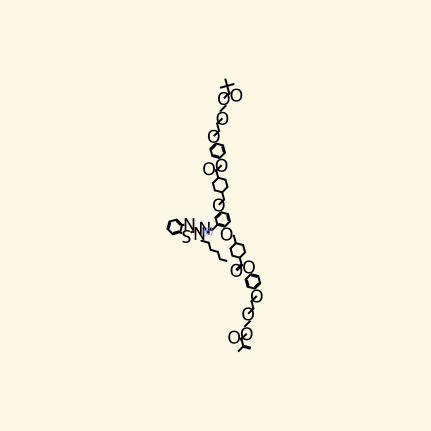 C=C(C)C(=O)OCCOCCOc1ccc(OC(=O)C2CCC(COc3ccc(OCC4CCC(C(=O)Oc5ccc(OCCOCCOC(=O)C(C)(C)C)cc5)CC4)cc3/C=N/N(CCCCCC)c3nc4ccccc4s3)CC2)cc1